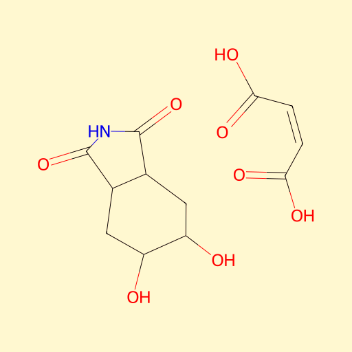 O=C(O)/C=C\C(=O)O.O=C1NC(=O)C2CC(O)C(O)CC12